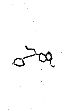 CCCN(CCN1CCNCC1)C1CCc2c(cccc2OC)C1